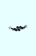 ClCCOc1ccc2cc(-c3ccccc3-c3ccccc3-c3ccc4cc(OCCCl)ccc4c3)ccc2c1